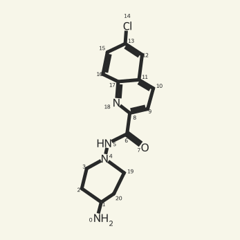 NC1CCN(NC(=O)c2ccc3cc(Cl)ccc3n2)CC1